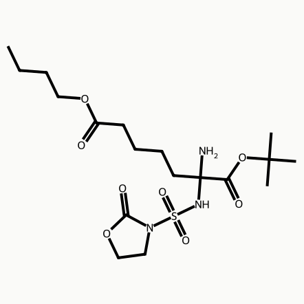 CCCCOC(=O)CCCCC(N)(NS(=O)(=O)N1CCOC1=O)C(=O)OC(C)(C)C